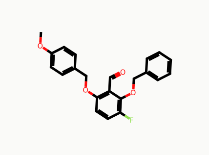 COc1ccc(COc2ccc(F)c(OCc3ccccc3)c2C=O)cc1